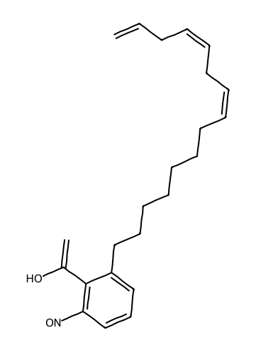 C=CC/C=C\C/C=C\CCCCCCCc1cccc(N=O)c1C(=C)O